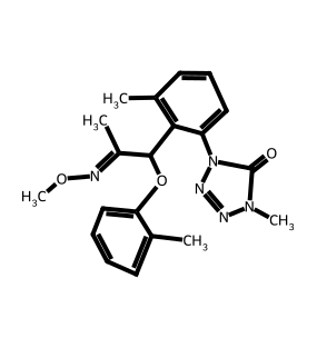 CON=C(C)C(Oc1ccccc1C)c1c(C)cccc1-n1nnn(C)c1=O